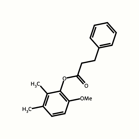 COc1ccc(C)c(C)c1OC(=O)CCc1ccccc1